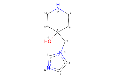 OC1(Cn2ccnc2)CCNCC1